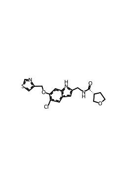 O=C(NCc1cc2cc(Cl)c(OCc3cscn3)cc2[nH]1)[C@@H]1CCOC1